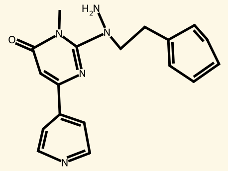 Cn1c(N(N)CCc2ccccc2)nc(-c2ccncc2)cc1=O